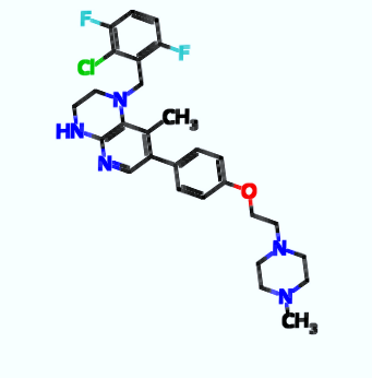 Cc1c(-c2ccc(OCCN3CCN(C)CC3)cc2)cnc2c1N(Cc1c(F)ccc(F)c1Cl)CCN2